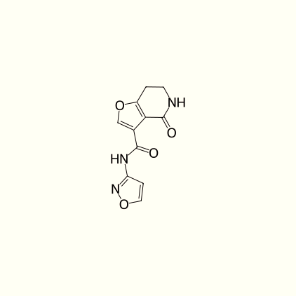 O=C(Nc1ccon1)c1coc2c1C(=O)NCC2